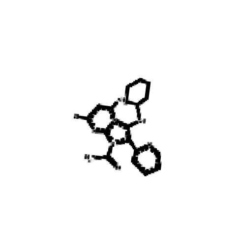 CC(=O)[n+]1c(-c2ccccn2)c(NC2CCCCC2)n2c(N)cc(Cl)nc21